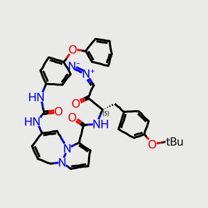 CC(C)(C)Oc1ccc(C[C@H](NC(=O)C2=CC=CN3CC=CC(NC(=O)Nc4ccc(Oc5ccccc5)cc4)=CN23)C(=O)C=[N+]=[N-])cc1